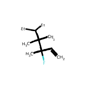 C=CC(C)(F)C(C)(C)C(CC)CC